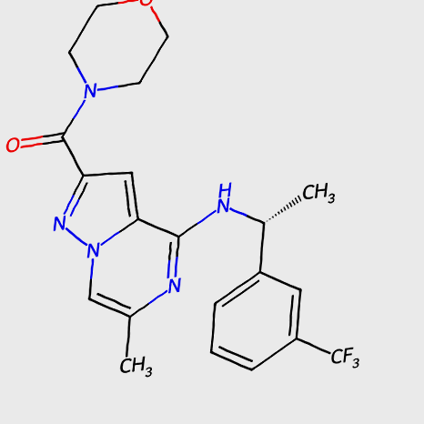 Cc1cn2nc(C(=O)N3CCOCC3)cc2c(N[C@H](C)c2cccc(C(F)(F)F)c2)n1